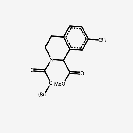 COC(=O)C1c2cc(O)ccc2CCN1C(=O)OC(C)(C)C